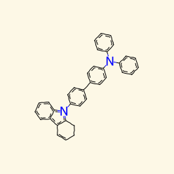 C1=Cc2c(n(-c3ccc(-c4ccc(N(c5ccccc5)c5ccccc5)cc4)cc3)c3ccccc23)CC1